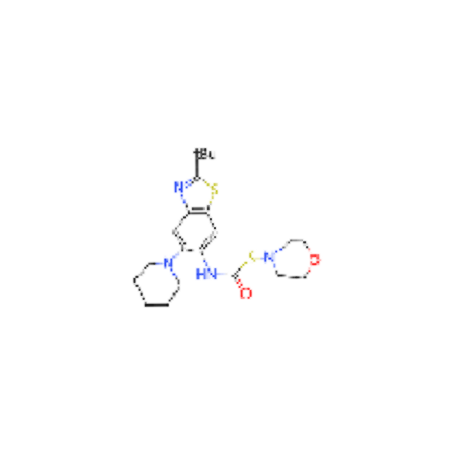 CC(C)(C)c1nc2cc(N3CCCCC3)c(NC(=O)SN3CCOCC3)cc2s1